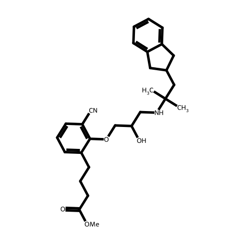 COC(=O)CCCc1cccc(C#N)c1OCC(O)CNC(C)(C)CC1Cc2ccccc2C1